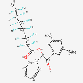 COc1cc(OC)cc(C(=O)C(OC(=O)C(F)(F)C(F)(F)C(F)(F)C(F)(F)C(F)(F)C(F)(F)C(F)(F)F)c2ccccc2)c1